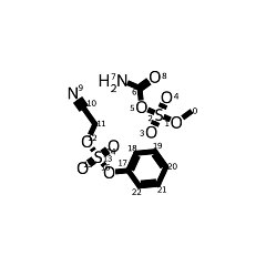 COS(=O)(=O)OC(N)=O.N#CCOS(=O)(=O)Oc1ccccc1